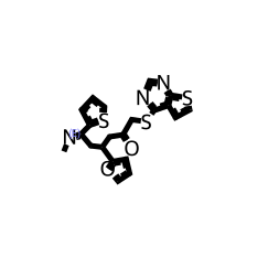 C/N=C(\CC(CC(=O)CSc1ncnc2sccc12)c1ccco1)c1cccs1